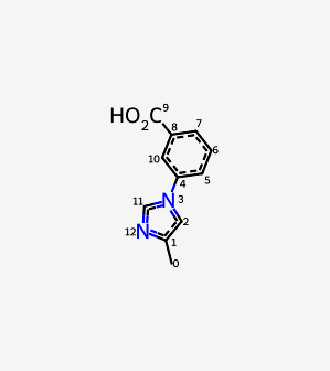 Cc1cn(-c2cccc(C(=O)O)c2)cn1